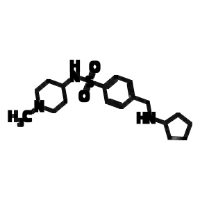 CN1CCC(NS(=O)(=O)c2ccc(CNC3CCCC3)cc2)CC1